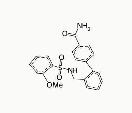 COc1ccccc1S(=O)(=O)NCc1ccccc1-c1ccc(C(N)=O)cc1